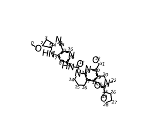 COC1CCC1Nc1cc(NC(=O)N2CCCc3cc(CN(C)C(=O)C4CCCO4)c(C=O)nc32)ncc1C#N